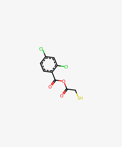 O=C(CS)OC(=O)c1ccc(Cl)cc1Cl